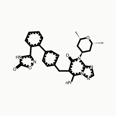 CCCc1c(Cc2ccc(-c3ccccc3-c3noc(=O)[nH]3)cc2)c(=O)n([C@@H]2C[C@@H](C)O[C@@H](C)C2)c2ncnn12